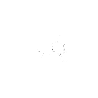 CCC(N)(Cc1cc(OC)ccc1OC)C(=O)O